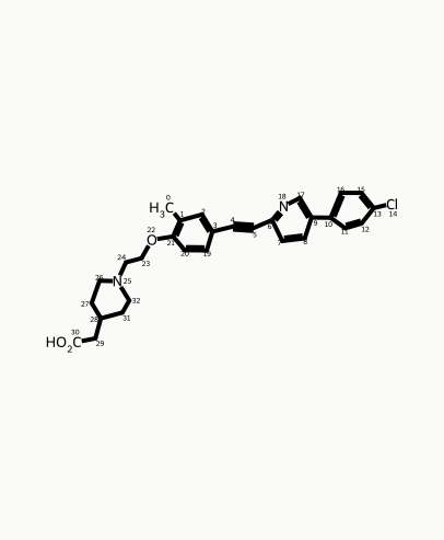 Cc1cc(C#Cc2ccc(-c3ccc(Cl)cc3)cn2)ccc1OCCN1CCC(CC(=O)O)CC1